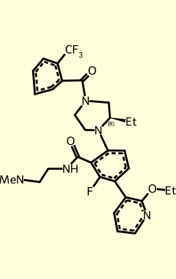 CCOc1ncccc1-c1ccc(N2CCN(C(=O)c3ccccc3C(F)(F)F)C[C@H]2CC)c(C(=O)NCCNC)c1F